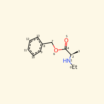 CCN[C@H](C)C(=O)OCc1ccccc1